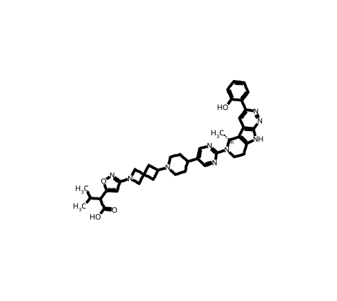 CC(C)C(C(=O)O)c1cc(N2CC3(CC(N4CCC(c5cnc(N6CCc7[nH]c8nnc(-c9ccccc9O)cc8c7[C@H]6C)nc5)CC4)C3)C2)no1